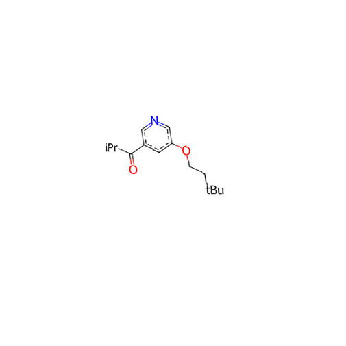 CC(C)C(=O)c1cncc(OCCC(C)(C)C)c1